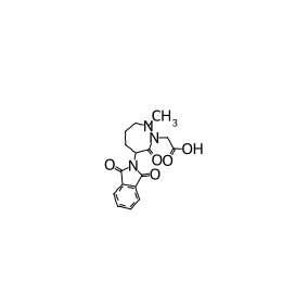 CN1CCCC(N2C(=O)c3ccccc3C2=O)C(=O)N1CC(=O)O